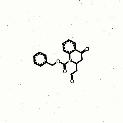 O=CCC1CC(=O)c2ccccc2N1C(=O)OCc1ccccc1